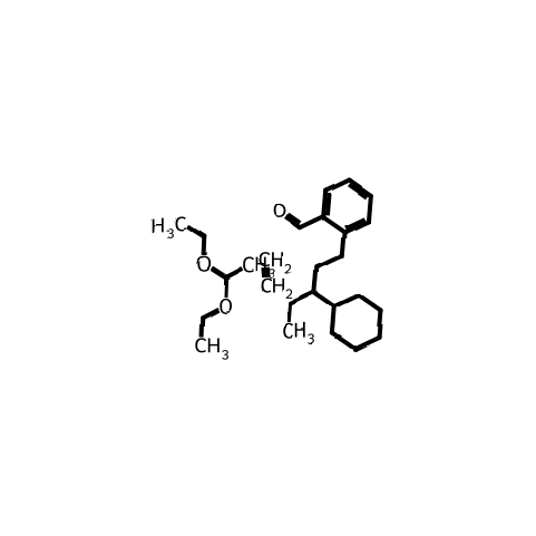 C=C.CCC(CCc1ccccc1C=O)C1CCCCC1.CCOC(C)OCC